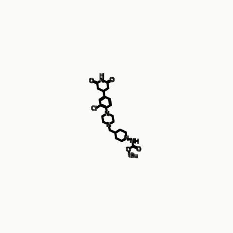 CC(C)(C)OC(=O)NN1CCC(CN2CCN(c3ccc(C4CC(=O)NC(=O)C4)cc3Cl)CC2)CC1